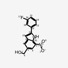 O=[N+]([O-])c1cc(CO)cc2cc(-c3cccc(F)c3)[nH]c12